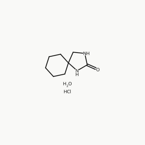 Cl.O.O=C1NCC2(CCCCC2)N1